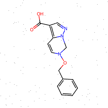 O=C(O)c1cnn2c1C=CN(OCc1ccccc1)C2